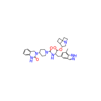 Cc1cc(CC(NC(=O)N2CCC(N3Cc4ccccc4NC3=O)CC2)C(=O)OC2CN3CCC34CCC24)cc2cn[nH]c12